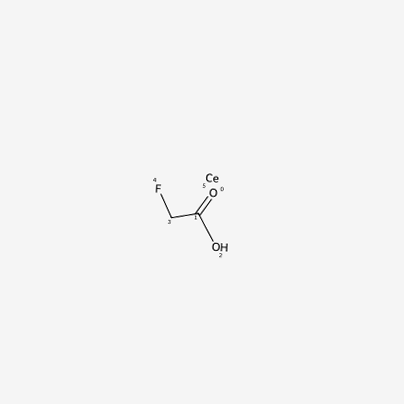 O=C(O)CF.[Ce]